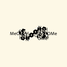 COCCOc1c(-c2ccc(-c3cnc([C@@H]4CCCN4C(=O)[C@H](NC(=O)OC)c4cccs4)[nH]3)cc2)ccc(-c2cnc([C@@H]3CCCN3C(=O)[C@H](NC(=O)OC)c3cccs3)[nH]2)c1OCCOC